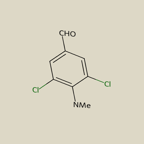 CNc1c(Cl)cc(C=O)cc1Cl